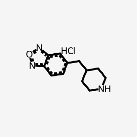 Cl.c1cc2nonc2cc1CC1CCNCC1